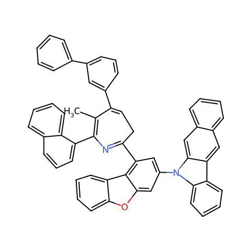 CC1=C(c2cccc3ccccc23)N=C(c2cc(-n3c4ccccc4c4cc5ccccc5cc43)cc3oc4ccccc4c23)CC=C1c1cccc(-c2ccccc2)c1